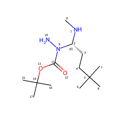 CN[C@H](CCC(C)(C)C)N(N)C(=O)OC(C)(C)C